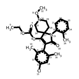 CCOC(=O)OC1=C(c2c(C)cc(Cl)cc2C)C(=O)N(c2ccccc2C)C12CCN(OC)CC2